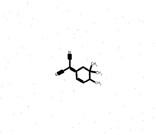 CC1C=CC(=C(C#N)C#N)CC1(C)C